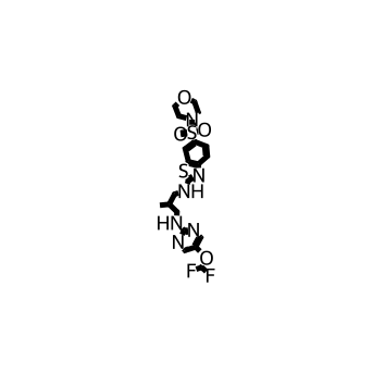 CC(CNc1ncc(OC(F)F)cn1)CNc1nc2ccc(S(=O)(=O)N3CCOCC3)cc2s1